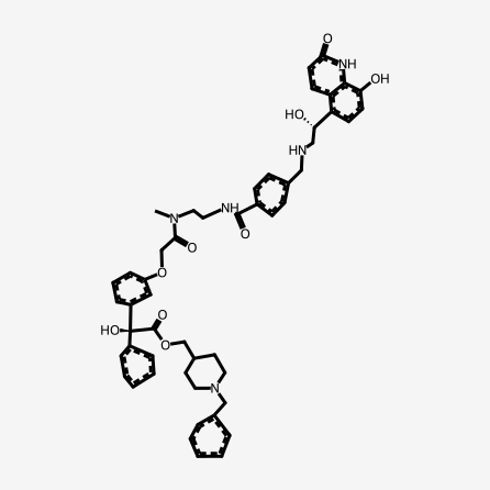 CN(CCNC(=O)c1ccc(CNC[C@H](O)c2ccc(O)c3[nH]c(=O)ccc23)cc1)C(=O)COc1cccc([C@](O)(C(=O)OCC2CCN(Cc3ccccc3)CC2)c2ccccc2)c1